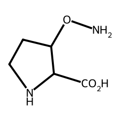 NOC1CCNC1C(=O)O